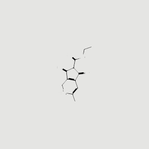 CCOC(=O)C1C(=O)C2=C(CNC(C)=C2)C1=O